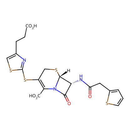 O=C(O)CCc1csc(SC2=C(C(=O)O)N3C(=O)[C@@H](NC(=O)Cc4cccs4)[C@H]3SC2)n1